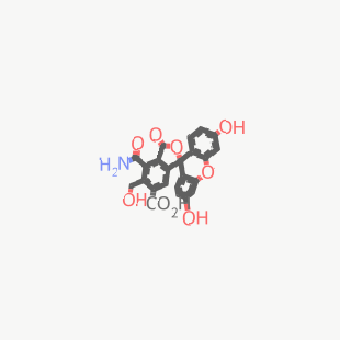 NC(=O)c1c(CO)c(C(=O)O)cc2c1C(=O)OC21c2ccc(O)cc2Oc2cc(O)ccc21